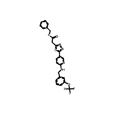 O=C(Cc1nnc(-c2ccc(NCc3cccc(OC(F)(F)F)c3)nc2)o1)OCc1ccccc1